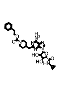 Nc1nc(CC2CCN(C(=O)OCCc3ccccc3)CC2)nc2c1ncn2[C@@H]1O[C@H](C(=O)NC2CC2)C(O)C1O